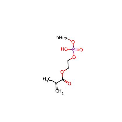 C=C(C)C(=O)OCCOP(=O)(O)OCCCCCC